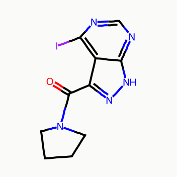 O=C(c1n[nH]c2ncnc(I)c12)N1CCCC1